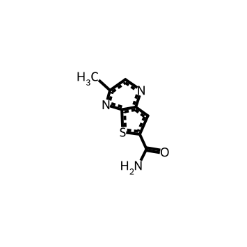 Cc1cnc2cc(C(N)=O)sc2n1